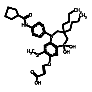 CCCCC1(CCCC)CN(c2ccc(NC(=O)C3CCCC3)cc2)c2cc(SC)c(OC=CC(=O)O)cc2S(O)(O)C1